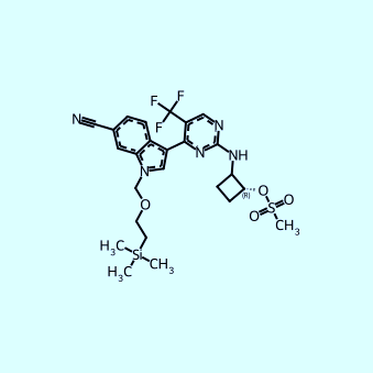 C[Si](C)(C)CCOCn1cc(-c2nc(NC3CC[C@H]3OS(C)(=O)=O)ncc2C(F)(F)F)c2ccc(C#N)cc21